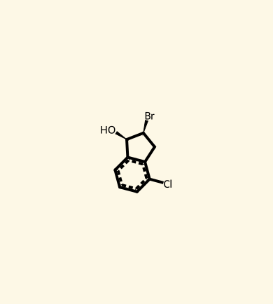 O[C@@H]1c2cccc(Cl)c2C[C@@H]1Br